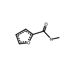 C[N]C(=O)c1ccco1